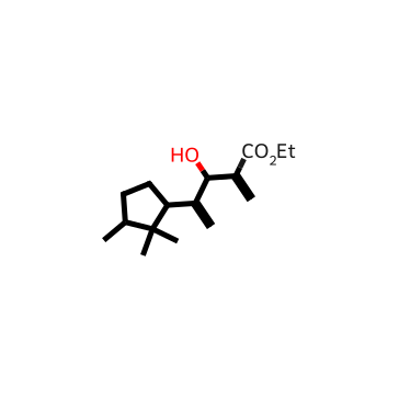 C=C(C(=O)OCC)C(O)C(=C)C1CCC(C)C1(C)C